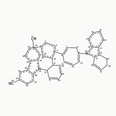 N#CCc1ccc(C2=CCC(n3c4c(c5ccccc53)CCC=C4)=CC=C2)c(C2C=CC=CC2n2c3ccccc3c3cc(C#N)ccc32)c1